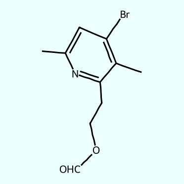 Cc1cc(Br)c(C)c(CCOC=O)n1